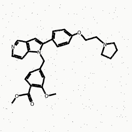 COC(=O)c1ccc(Cn2c(-c3ccc(OCCN4CCCC4)cc3)cc3cnccc32)cc1OC